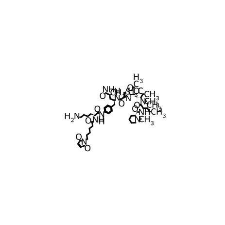 CC[C@H](C)[C@H](NC(=O)[C@H]1CCCCN1C)C(=O)N(C)[C@H](C[C@@H](OC(C)=O)c1nc(C(=O)N[C@@H](Cc2ccc(NC(=O)[C@H](CCCCN)NC(=O)CCCCCN3C(=O)C=CC3=O)cc2)CC(C)C(N)=O)cs1)C(C)C